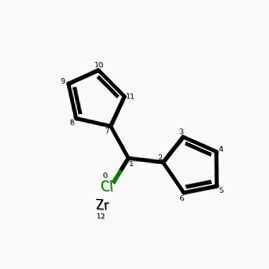 ClC(C1C=CC=C1)C1C=CC=C1.[Zr]